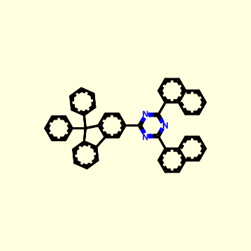 c1ccc(C2(c3ccccc3)c3ccccc3-c3cc(-c4nc(-c5cccc6ccccc56)nc(-c5cccc6ccccc56)n4)ccc32)cc1